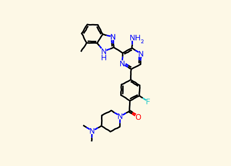 Cc1cccc2nc(-c3nc(-c4ccc(C(=O)N5CCC(N(C)C)CC5)c(F)c4)cnc3N)[nH]c12